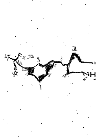 C/C=C(\CN)Cc1cccc(C(F)(F)F)c1